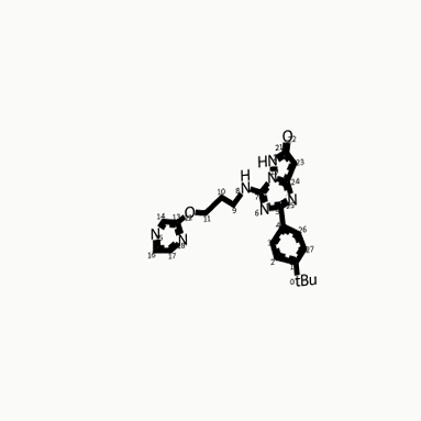 CC(C)(C)c1ccc(-c2nc(NCCCOc3cnccn3)n3[nH]c(=O)cc3n2)cc1